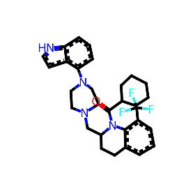 O=C(C1CCCCC1)N1c2c(cccc2C(F)(F)F)CCC1CN1CCN(c2cccc3[nH]ccc23)CC1